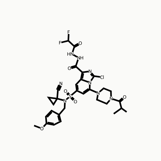 COc1ccc(CN(C2(C#N)CC2)S(=O)(=O)c2cc(N3CCN(C(=O)C(C)C)CC3)n3c(Cl)nc(C(=O)NNC(=O)C(F)F)c3c2)cc1